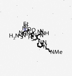 CCO/N=C(\C(=O)N[C@@H]1C(=O)N2C(c3nn[nH]n3)=C(C[n+]3cccc4c3ncn4CCCNC)CS[C@H]12)c1nsc(N)n1